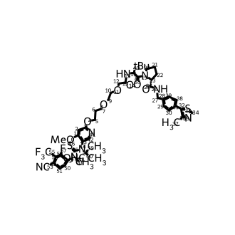 COc1cc(OCCCOCCOCC(=O)NC(C(=O)N2CCC[C@H]2C(=O)NCc2ccc(-c3scnc3C)cc2)C(C)(C)C)ncc1N(C(=S)N(C)c1ccc(C#N)c(C(F)(F)F)c1F)C(C)(C)C=O